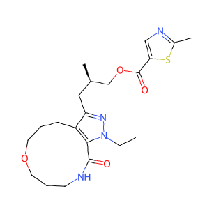 CCn1nc(C[C@@H](C)COC(=O)c2cnc(C)s2)c2c1C(=O)NCCCOCCC2